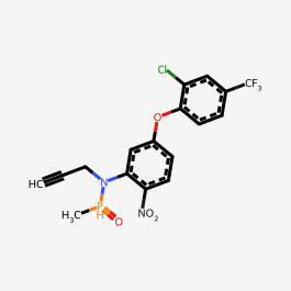 C#CCN(c1cc(Oc2ccc(C(F)(F)F)cc2Cl)ccc1[N+](=O)[O-])[PH](C)=O